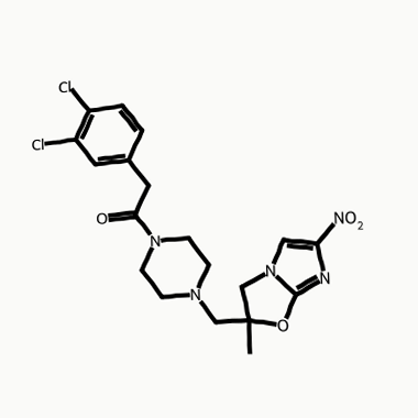 CC1(CN2CCN(C(=O)Cc3ccc(Cl)c(Cl)c3)CC2)Cn2cc([N+](=O)[O-])nc2O1